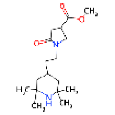 COC(=O)C1CC(=O)N(CCC2CC(C)(C)NC(C)(C)C2)C1